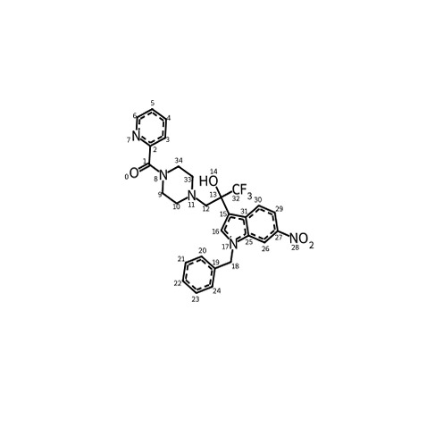 O=C(c1ccccn1)N1CCN(CC(O)(c2cn(Cc3ccccc3)c3cc([N+](=O)[O-])ccc23)C(F)(F)F)CC1